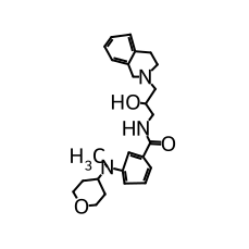 CN(c1cccc(C(=O)NCC(O)CN2CCc3ccccc3C2)c1)C1CCOCC1